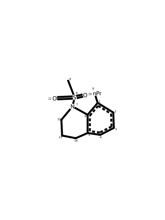 CCCc1cccc2c1N(S(C)(=O)=O)CCC2